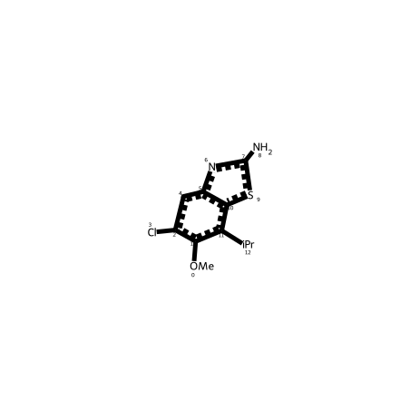 COc1c(Cl)cc2nc(N)sc2c1C(C)C